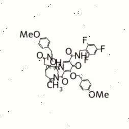 COc1ccc(COc2c3n(cc(C(=O)NCc4c(F)cc(F)cc4F)c2=O)[C@@H]2CN(C3=O)[C@@H](C)CC[C@]23CC(=O)N(Cc2ccc(OC)cc2)O3)cc1